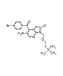 CS(C)(C)CCOCn1c(Cl)cc2c(C(=O)c3ccc(Br)cc3)c(N)cnc21